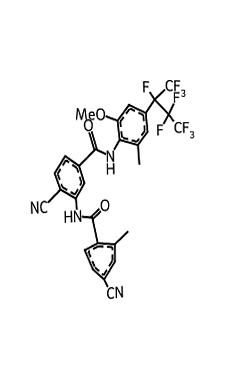 COc1cc(C(F)(C(F)(F)F)C(F)(F)C(F)(F)F)cc(C)c1NC(=O)c1ccc(C#N)c(NC(=O)c2ccc(C#N)cc2C)c1